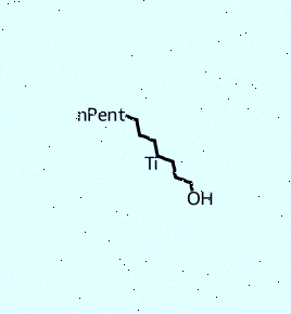 CCCCCCCCCCCCO.[Ti]